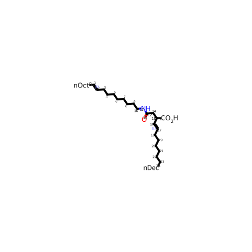 CCCCCCCC/C=C/CCCCCCCCNC(=O)CC(/C=C/CCCCCCCCCCCCCCCC)C(=O)O